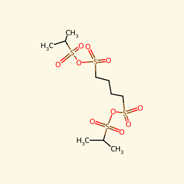 CC(C)S(=O)(=O)OS(=O)(=O)CCCCS(=O)(=O)OS(=O)(=O)C(C)C